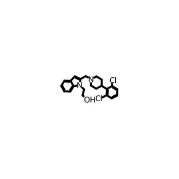 OCCn1c(CN2CCC(c3c(Cl)cccc3Cl)CC2)cc2ccccc21